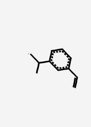 [CH2]C(C)c1cccc(C=C)c1